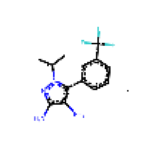 CC(C)n1nc(N)c(N)c1-c1cccc(C(F)(F)F)c1